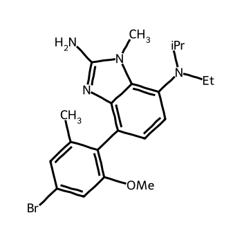 CCN(c1ccc(-c2c(C)cc(Br)cc2OC)c2nc(N)n(C)c12)C(C)C